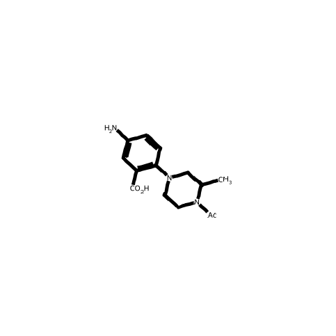 CC(=O)N1CCN(c2ccc(N)cc2C(=O)O)CC1C